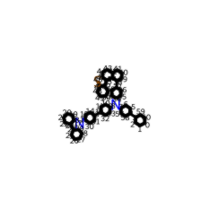 c1ccc(-c2ccc(N(c3ccc(-c4ccc(-n5c6ccccc6c6ccccc65)cc4)cc3)c3ccc(-c4cccc5ccc6sc7ccccc7c6c45)cc3)cc2)cc1